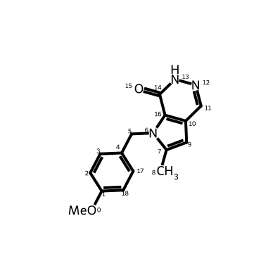 COc1ccc(Cn2c(C)cc3cn[nH]c(=O)c32)cc1